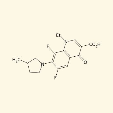 CCn1cc(C(=O)O)c(=O)c2cc(F)c(N3CCC(C)C3)c(F)c21